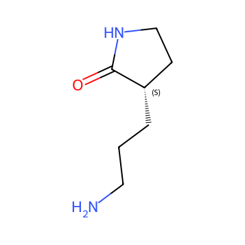 NCCC[C@H]1CCNC1=O